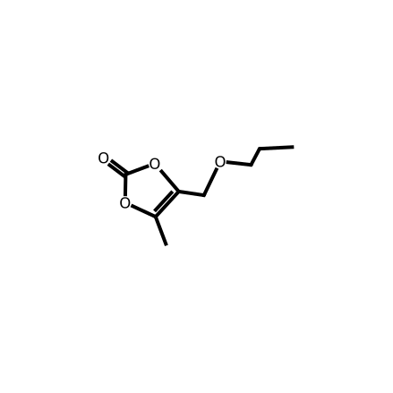 CCCOCc1oc(=O)oc1C